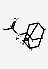 CC(=O)NC12CC3CC(C1)C(=O)C(C3)C2